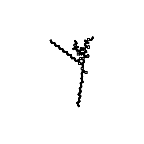 CCCCCCCCCCCCCCC(=O)OCC(COC(=O)C(CNC(=O)CC(C)(C)OCC)NC(=O)CC(C)(C)OCC)OC(=O)CCCCCCCCCCCCCC